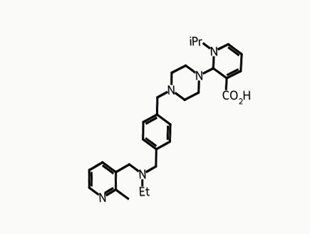 CCN(Cc1ccc(CN2CCN(C3C(C(=O)O)=CC=CN3C(C)C)CC2)cc1)Cc1cccnc1C